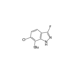 CC(C)(C)c1c(Cl)ccc2c(F)n[nH]c12